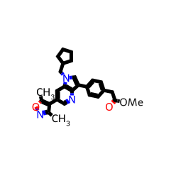 COC(=O)Cc1ccc(-c2cn(CC3CCCC3)c3cc(-c4c(C)noc4C)cnc23)cc1